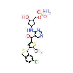 Cc1sc(C(=O)c2cncnc2NC2CC(O)C(COS(N)(=O)=O)C2)cc1[C@H]1SCc2ccc(Cl)cc21